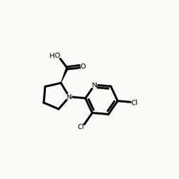 O=C(O)[C@@H]1CCCN1c1ncc(Cl)cc1Cl